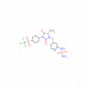 CC1C(=O)N(c2ccc(S(=O)(=O)C(F)(F)F)cc2)C(=O)N1Cc1ccnc(NS(N)(=O)=O)c1